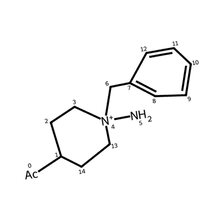 CC(=O)C1CC[N+](N)(Cc2ccccc2)CC1